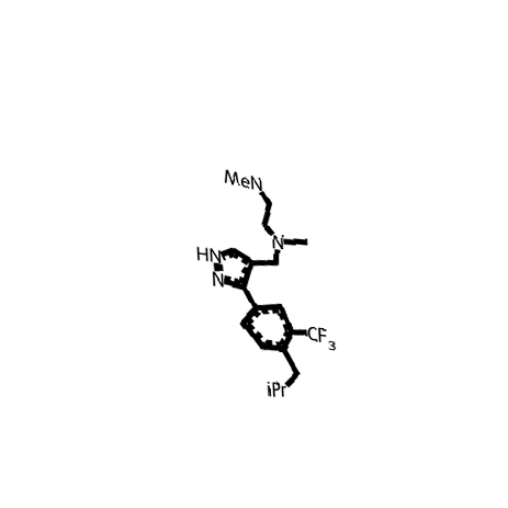 CNCCN(C)Cc1c[nH]nc1-c1ccc(CC(C)C)c(C(F)(F)F)c1